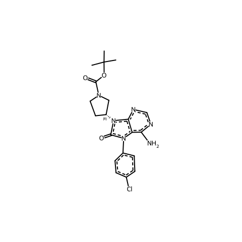 CC(C)(C)OC(=O)N1CC[C@@H](n2c(=O)n(-c3ccc(Cl)cc3)c3c(N)ncnc32)C1